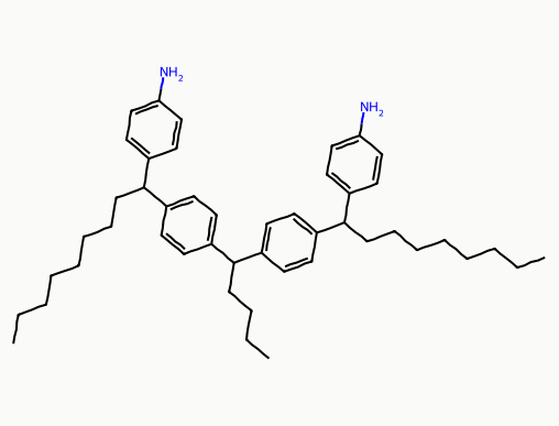 CCCCCCCCC(c1ccc(N)cc1)c1ccc(C(CCCC)c2ccc(C(CCCCCCCC)c3ccc(N)cc3)cc2)cc1